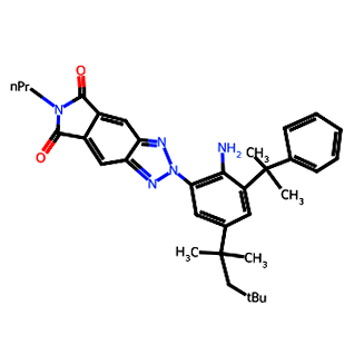 CCCN1C(=O)c2cc3nn(-c4cc(C(C)(C)CC(C)(C)C)cc(C(C)(C)c5ccccc5)c4N)nc3cc2C1=O